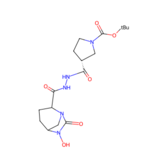 CC(C)(C)OC(=O)N1CC[C@@H](C(=O)NNC(=O)C2CCC3CN2C(=O)N3O)C1